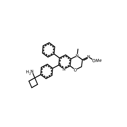 CON=C1COc2nc(-c3ccc(C4(N)CCC4)cc3)c(-c3ccccc3)cc2N1C